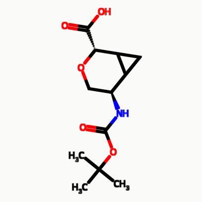 CC(C)(C)OC(=O)N[C@H]1CO[C@H](C(=O)O)C2CC21